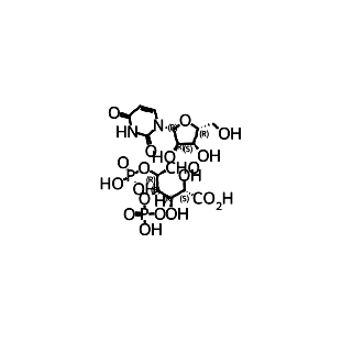 O=C[C@H](OP(=O)(O)O)[C@@H](OP(=O)(O)O)[C@H](O)[C@H](O)C(=O)O.O=c1ccn([C@@H]2O[C@H](CO)[C@@H](O)[C@H]2O)c(=O)[nH]1